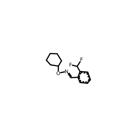 FC(F)c1ccccc1/[C]=N/OC1CCCCC1